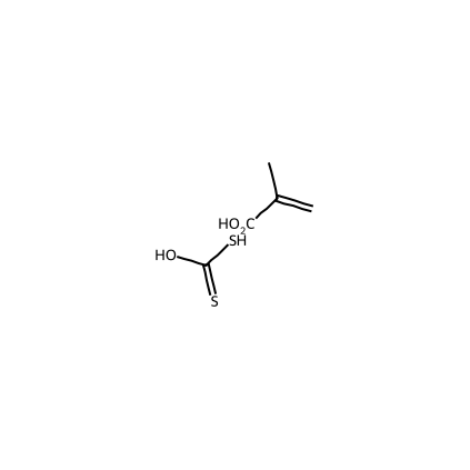 C=C(C)C(=O)O.OC(=S)S